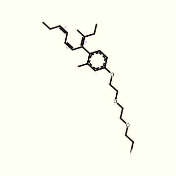 CC\C=C/C=C\C(=C(/C)CC)c1ccc(OCCOCCOCCF)cc1C